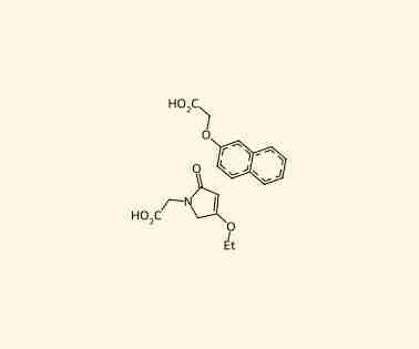 CCOC1=CC(=O)N(CC(=O)O)C1.O=C(O)COc1ccc2ccccc2c1